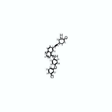 O=C1CCC(C#Cc2ccc3ncnc(Nc4ccc(Oc5cccc(Cl)c5)cc4)c3c2)CN1